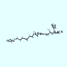 CCCCCCCCCCCCCCCCCCNCCCN(CC)CC